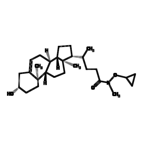 CC(CCC(=O)N(C)OC1CC1)[C@H]1CC[C@H]2[C@@H]3CC=C4C[C@@H](O)CC[C@]4(C)[C@H]3CC[C@]12C